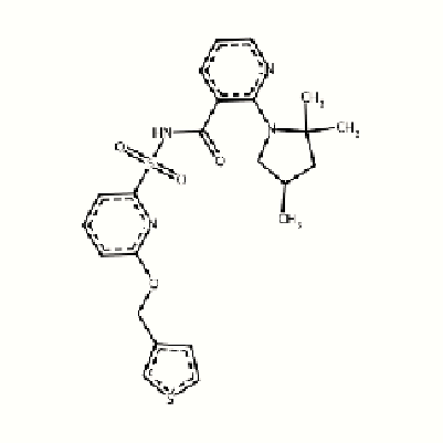 CC1CN(c2ncccc2C(=O)NS(=O)(=O)c2cccc(OCc3ccsc3)n2)C(C)(C)C1